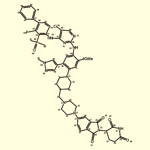 COc1cc(N2CCC(CN3CCN(c4ccc5c(c4)C(=O)N(C4CCC(=O)NC4=O)C5=O)CC3)CC2)c(-c2cnn(C)c2)cc1Nc1ncc(Cl)c(Nc2ccc(-c3ccccc3)c(F)c2P(C)(C)=O)n1